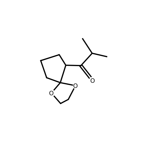 CC(C)C(=O)C1CCCC12OCCO2